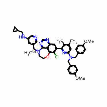 COc1ccc(CN(Cc2ccc(OC)cc2)c2cc(C)c(C(F)(F)F)c(-c3cc4ncnc5c4c(c3Cl)OCCN5[C@H](C)c3cncc(NCC4CC4)c3)n2)cc1